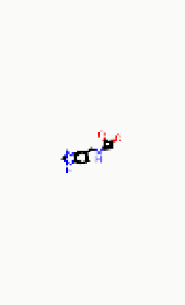 O=c1cc(NCc2ccc3[nH]cnc3c2)c1=O